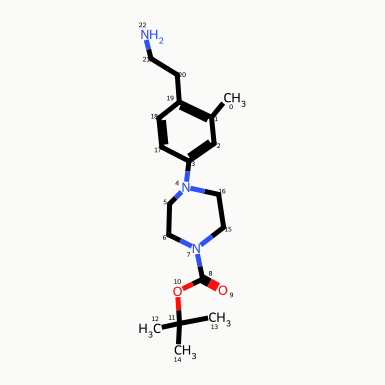 Cc1cc(N2CCN(C(=O)OC(C)(C)C)CC2)ccc1CCN